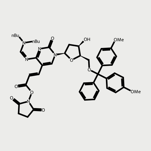 CCCCN(/C=N\c1nc(=O)n([C@H]2C[C@@H](O)[C@@H](COC(c3ccccc3)(c3ccc(OC)cc3)c3ccc(OC)cc3)O2)cc1/C=C/C(=O)ON1C(=O)CCC1=O)CCCC